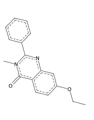 CCOc1ccc2c(=O)n(C)c(-c3ccccc3)nc2c1